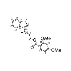 COc1ccc(C(=O)OCCNC2=NCc3ccccc32)c(OC)c1